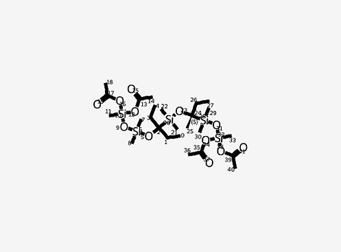 CCC(CC)(O[Si](C)(C)O[Si](C)(OC(C)=O)OC(C)=O)[Si](C)(C)O[C@](C)(CC)[Si](C)(C)O[Si](C)(OC(C)=O)OC(C)=O